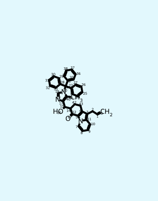 C=CCc1c2c(n3ccccc13)C(=O)C(C(O)c1ncn(C(c3ccccc3)(c3ccccc3)c3ccccc3)c1C)CC2